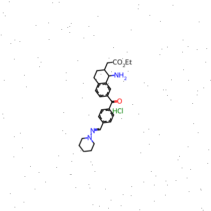 CCOC(=O)CC1CCc2ccc(C(=O)c3ccc(C=NN4CCCCC4)cc3)cc2C1N.Cl